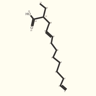 C=CCCCCCCC=CCC(CC)C(=O)O